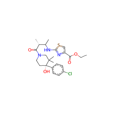 CCOC(=O)c1csc(NC(C)[C@@H](C)C(=O)N2CC[C@](O)(c3ccc(Cl)cc3)C(C)(C)C2)n1